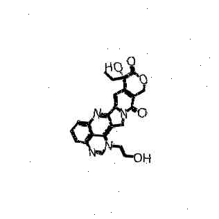 CC[C@@]1(O)C(=O)OCc2c1cc1n(c2=O)Cc2c-1nc1cccc3c1c2N(CCO)C=N3